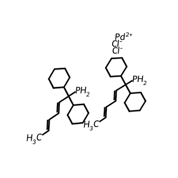 CC=CC=CC(P)(C1CCCCC1)C1CCCCC1.CC=CC=CC(P)(C1CCCCC1)C1CCCCC1.[Cl-].[Cl-].[Pd+2]